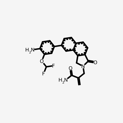 C=C(CN1Cc2c(ccc3ccc(-c4ccc(N)c(OC(F)F)c4)cc23)C1=O)C(N)=O